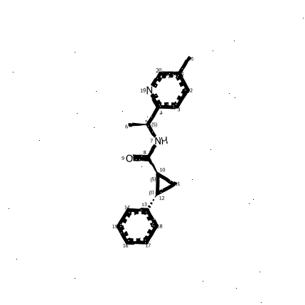 Cc1ccc([C@H](C)NC(=O)[C@H]2C[C@@H]2c2ccccc2)nc1